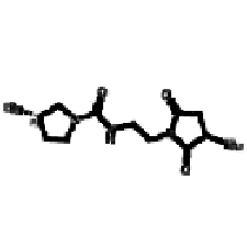 CC(C)(C)C1CC(=O)N(CCNC(=O)N2CC[C@H](C(C)(C)C)C2)C1=O